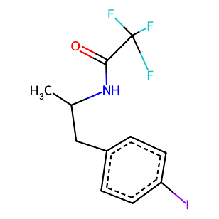 CC(Cc1ccc(I)cc1)NC(=O)C(F)(F)F